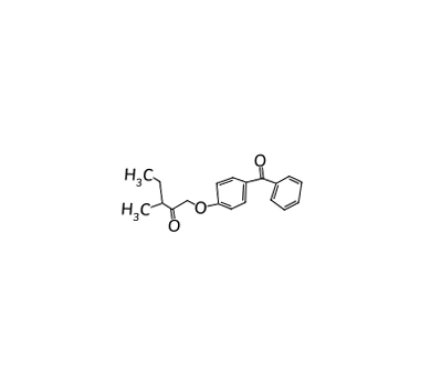 CCC(C)C(=O)COc1ccc(C(=O)c2ccccc2)cc1